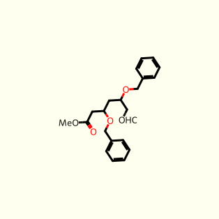 COC(=O)CC(CC(CC=O)OCc1ccccc1)OCc1ccccc1